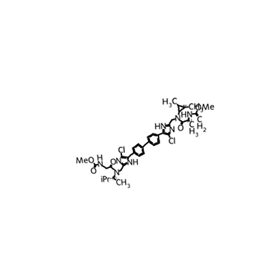 C=C(N[C@@H](C)C(=O)N(Cc1nc(Cl)c(-c2ccc(-c3ccc(-c4[nH]c(CN(C(=O)CNC(=O)OC)[C@H](C)C(C)C)nc4Cl)cc3)cc2)[nH]1)C1C(C)[C@H]1C)OC